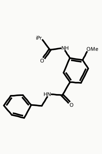 COc1ccc(C(=O)NCc2ccccc2)cc1NC(=O)C(C)C